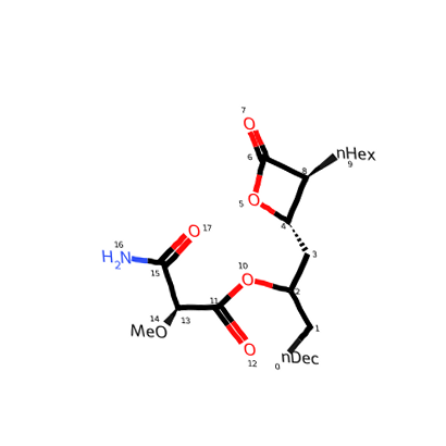 CCCCCCCCCCCC(C[C@@H]1OC(=O)[C@H]1CCCCCC)OC(=O)[C@@H](OC)C(N)=O